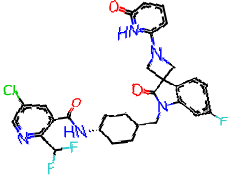 O=C(N[C@H]1CC[C@H](CN2C(=O)C3(CN(c4cccc(=O)[nH]4)C3)c3ccc(F)cc32)CC1)c1cc(Cl)cnc1C(F)F